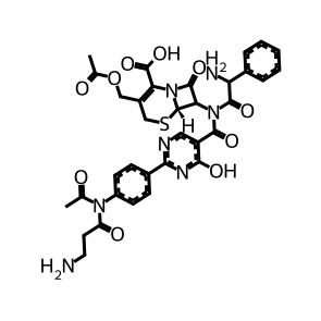 CC(=O)OCC1=C(C(=O)O)N2C(=O)C(N(C(=O)c3cnc(-c4ccc(N(C(C)=O)C(=O)CCN)cc4)nc3O)C(=O)C(N)c3ccccc3)[C@@H]2SC1